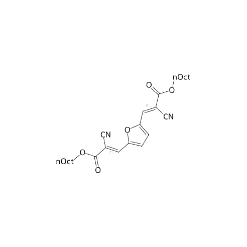 CCCCCCCCOC(=O)/C(C#N)=C/c1ccc(/C=C(\C#N)C(=O)OCCCCCCCC)o1